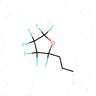 CCCC1(F)OC(F)(F)C(F)(F)C1(F)F